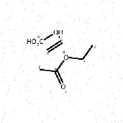 C=C.CCOC(C)=O.O=C(O)O